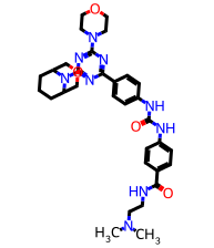 CN(C)CCNC(=O)c1ccc(NC(=O)Nc2ccc(-c3nc(N4CCOCC4)nc(N4C5CCCC4COC5)n3)cc2)cc1